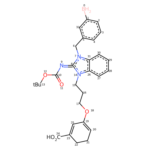 Bc1cccc(Cn2/c(=N/C(=O)OC(C)(C)C)n(CCCOC3=CCCC(C(=O)O)=C3)c3ccccc32)c1